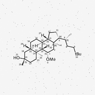 CO[C@H]1C[C@]2(C)[C@@H]([C@H](C)CCC(C)(C)C)CC[C@H]2[C@@H]2CC[C@H]3C[C@@](C)(O)CC[C@]3(C)[C@H]21